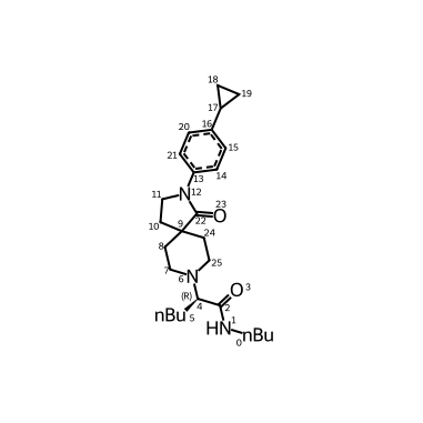 CCCCNC(=O)[C@@H](CCCC)N1CCC2(CCN(c3ccc(C4CC4)cc3)C2=O)CC1